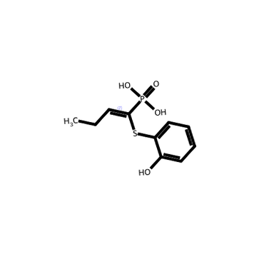 CC/C=C(\Sc1ccccc1O)P(=O)(O)O